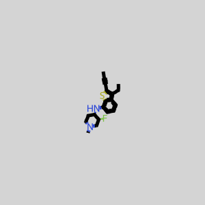 CC#Cc1sc2c(N[C@@H]3CCN(C)C[C@@H]3F)cccc2c1CC